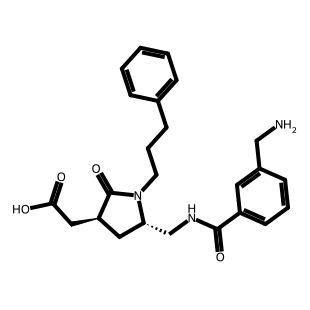 NCc1cccc(C(=O)NC[C@@H]2C[C@@H](CC(=O)O)C(=O)N2CCCc2ccccc2)c1